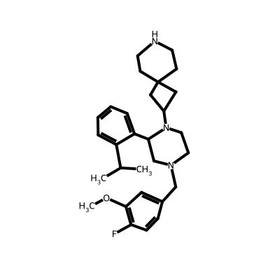 COc1cc(CN2CCN(C3CC4(CCNCC4)C3)C(c3ccccc3C(C)C)C2)ccc1F